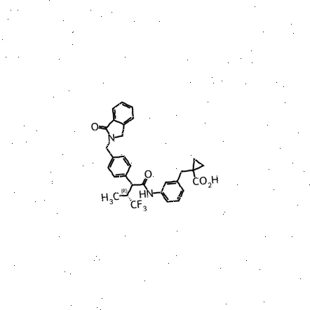 C[C@H](C(C(=O)Nc1cccc(CC2(C(=O)O)CC2)c1)c1ccc(CN2Cc3ccccc3C2=O)cc1)C(F)(F)F